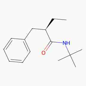 CC[C@H](Cc1ccccc1)C(=O)NC(C)(C)C